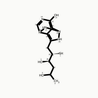 CC(O)C[C@@H](O)[C@@H](S)CC1=C2C3=C(O)N=CN2NN3N1